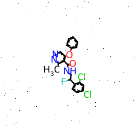 Cc1nncc(Oc2ccccc2)c1C(=O)NCC(F)c1ccc(Cl)cc1Cl